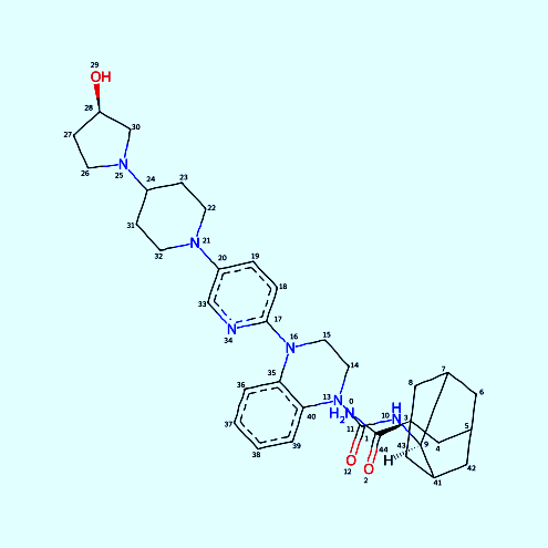 NC(=O)[C@]12CC3CC(C1)[C@H](NC(=O)N1CCN(c4ccc(N5CCC(N6CC[C@@H](O)C6)CC5)cn4)c4ccccc41)C(C3)C2